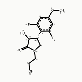 COc1cc(F)c([C@@H]2CN(CCO)C(=O)[C@H]2O)c(F)c1